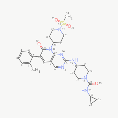 Cc1ccccc1-c1cc2cnc(NC3CCN(C(=O)NC4CC4)CC3)nc2n(C2CCN(S(C)(=O)=O)CC2)c1=O